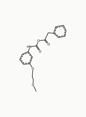 COCCOc1cccc(NC(=O)OC(=O)Cc2ccccc2)c1